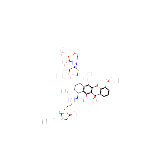 COc1cccc2c1C(=O)c1c(O)c3c(c(O)c1C2=O)C(C(=O)NCCN1C(=O)CC(SC)C1=O)[C@H](O)C[C@@H]3O[C@H]1C[C@H]2[C@H](O[C@@H]3[C@@H](OC)OCCN32)[C@H](C)O1